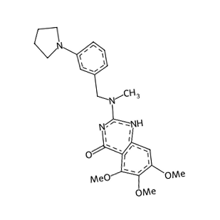 COc1cc2[nH]c(N(C)Cc3cccc(N4CCCC4)c3)nc(=O)c2c(OC)c1OC